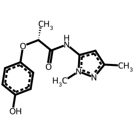 Cc1cc(NC(=O)[C@@H](C)Oc2ccc(O)cc2)n(C)n1